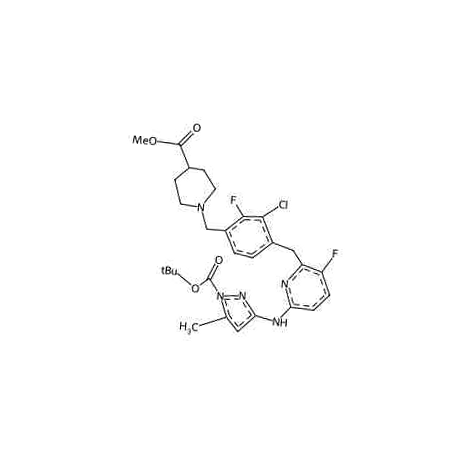 COC(=O)C1CCN(Cc2ccc(Cc3nc(Nc4cc(C)n(C(=O)OC(C)(C)C)n4)ccc3F)c(Cl)c2F)CC1